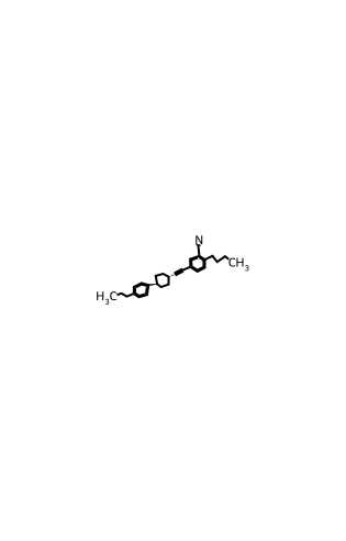 CCCCc1ccc(C#C[C@H]2CC[C@H](c3ccc(CCC)cc3)CC2)cc1C#N